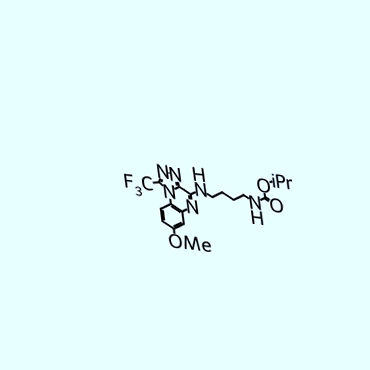 COc1ccc2c(c1)nc(NCCCCNC(=O)OC(C)C)c1nnc(C(F)(F)F)n12